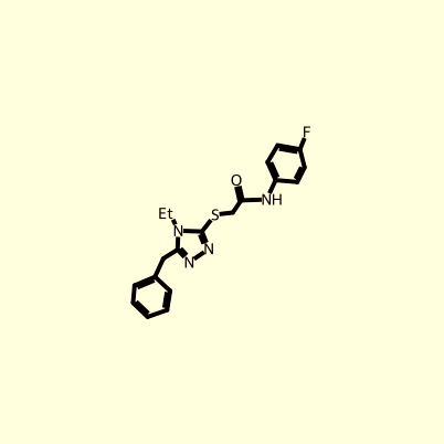 CCn1c(Cc2ccccc2)nnc1SCC(=O)Nc1ccc(F)cc1